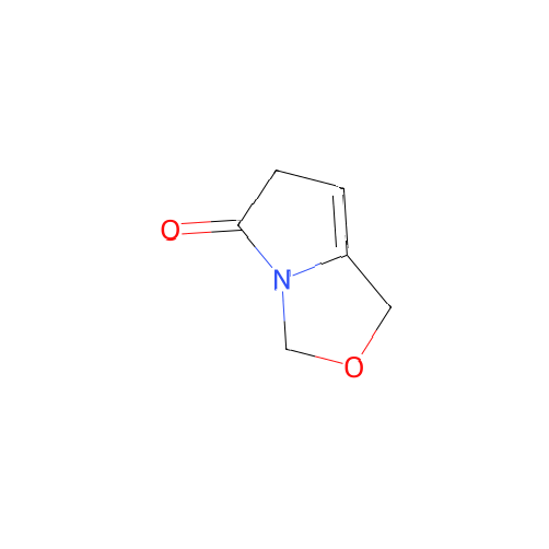 O=C1CC=C2COCN12